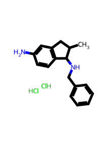 CC1Cc2cc(N)ccc2C1NCc1ccccc1.Cl.Cl